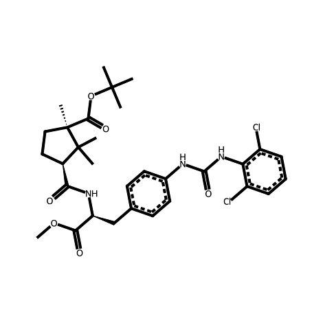 COC(=O)[C@H](Cc1ccc(NC(=O)Nc2c(Cl)cccc2Cl)cc1)NC(=O)[C@H]1CC[C@@](C)(C(=O)OC(C)(C)C)C1(C)C